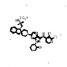 CC(C)(C[C@@H]1c2ccccc2CC12CCN(c1cnc3c(Nc4ccnc(Cl)c4Cl)nn(C4CCCCC4=O)c3n1)CC2)NC(=O)O